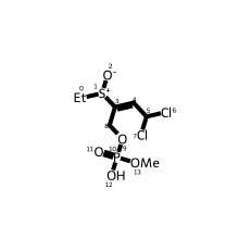 CC[S+]([O-])C(=CC(Cl)Cl)COP(=O)(O)OC